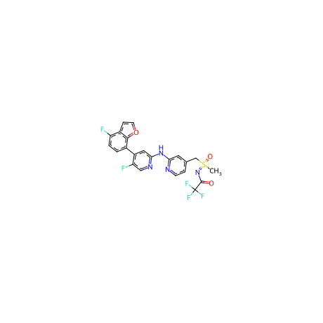 CS(=O)(Cc1ccnc(Nc2cc(-c3ccc(F)c4ccoc34)c(F)cn2)c1)=NC(=O)C(F)(F)F